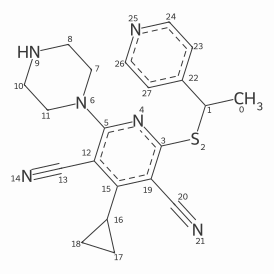 CC(Sc1nc(N2CCNCC2)c(C#N)c(C2CC2)c1C#N)c1ccncc1